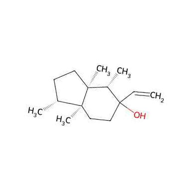 C=CC1(O)CC[C@@]2(C)[C@H](C)CC[C@@]2(C)[C@@H]1C